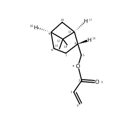 C=CC(=O)OC[C@@H]1CC[C@H]2C[C@@H]1C2(C)C